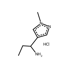 CCC(N)c1cnn(C)c1.Cl